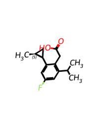 CC(C)c1cc(F)cc(C2C[C@@H]2C)c1CC(=O)O